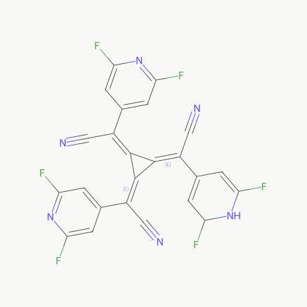 N#CC(=C1C(=C(\C#N)C2=CC(F)NC(F)=C2)/C1=C(\C#N)c1cc(F)nc(F)c1)c1cc(F)nc(F)c1